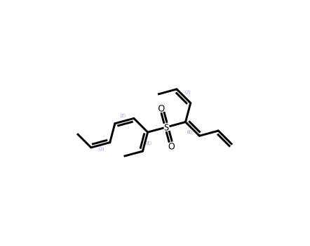 C=C/C=C(\C=C/C)S(=O)(=O)C(/C=C\C=C/C)=C/C